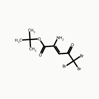 CC(C)(C)OC(=O)C(N)=CC(=O)C(Br)(Br)Br